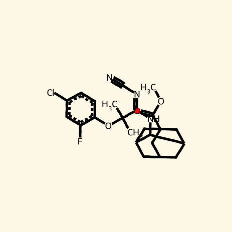 COC(=O)C12CC3CC(C1)C(N/C(=N/C#N)C(C)(C)Oc1ccc(Cl)cc1F)C(C3)C2